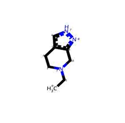 CCN1CCc2c[nH]nc2C1